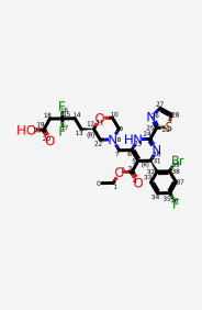 CCOC(=O)C1=C(CN2CCO[C@H](CCC(F)(F)CC(=O)O)C2)NC(c2nccs2)=N[C@H]1c1ccc(F)cc1Br